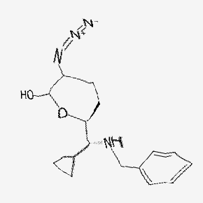 [N-]=[N+]=NC1CC[C@@H]([C@H](NCc2ccccc2)C2CC2)OC1O